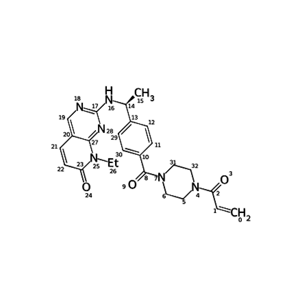 C=CC(=O)N1CCN(C(=O)c2ccc([C@H](C)Nc3ncc4ccc(=O)n(CC)c4n3)cc2)CC1